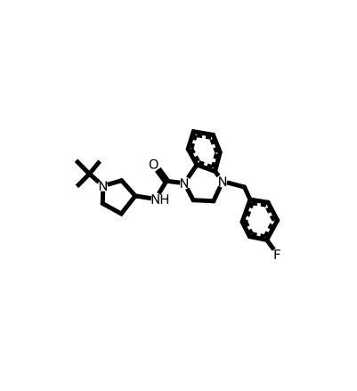 CC(C)(C)N1CCC(NC(=O)N2CCN(Cc3ccc(F)cc3)c3ccccc32)C1